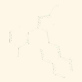 Cc1cccc(-c2nc(C)oc2-c2ccc3nccnc3c2)n1